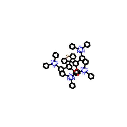 c1ccc(-c2nc(-c3ccccc3)nc(-c3cccc(-c4cc(-c5cccc(-c6nc(-c7ccccc7)nc(-c7ccccc7)n6)c5)cc(C5(c6cc(-c7cccc(-c8nc(-c9ccccc9)nc(-c9ccccc9)n8)c7)cc(-c7cccc(-c8nc(-c9ccccc9)nc(-c9ccccc9)n8)c7)c6)c6ccccc6Sc6ccccc65)c4)c3)n2)cc1